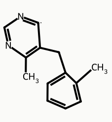 Cc1ccccc1Cc1[c]ncnc1C